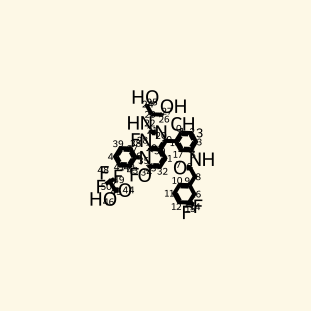 Cc1ccc(NC(=O)CC2=CC=CC(F)(F)C2)cc1-c1nc(NC(CO)CO)nc2c1ccc(=O)n2-c1c(F)cccc1F.O=C(O)C(F)(F)F